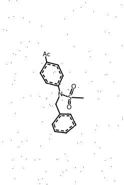 CC(=O)c1ccc(N(Cc2ccccc2)S(C)(=O)=O)cc1